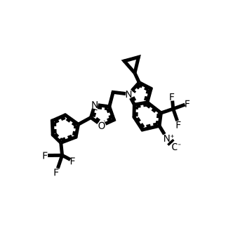 [C-]#[N+]c1ccc2c(cc(C3CC3)n2Cc2coc(-c3cccc(C(F)(F)F)c3)n2)c1C(F)(F)F